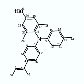 C/C=C(\C)c1ccc(N(c2ccc(C)cc2)c2c(C)cc(C(C)(C)C)cc2C)cc1